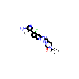 Cc1c(N)cncc1-c1ccc2cnc(Nc3cc4n(n3)CC(=O)N(C(C)C)CC4)cc2c1Cl